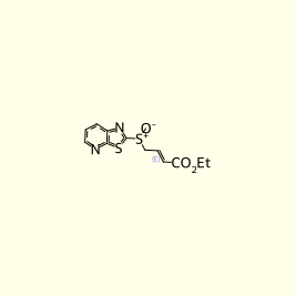 CCOC(=O)/C=C/C[S+]([O-])c1nc2cccnc2s1